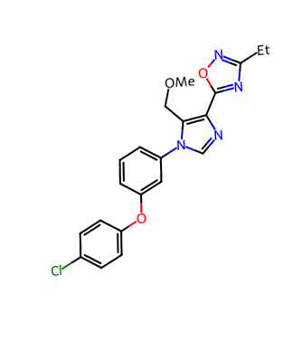 CCc1noc(-c2ncn(-c3cccc(Oc4ccc(Cl)cc4)c3)c2COC)n1